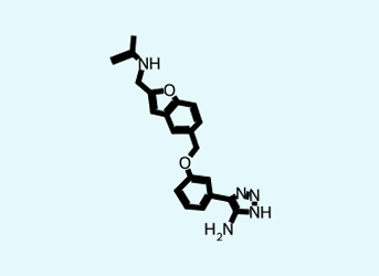 C=C(C)NCc1cc2cc(COc3cccc(-c4nn[nH]c4N)c3)ccc2o1